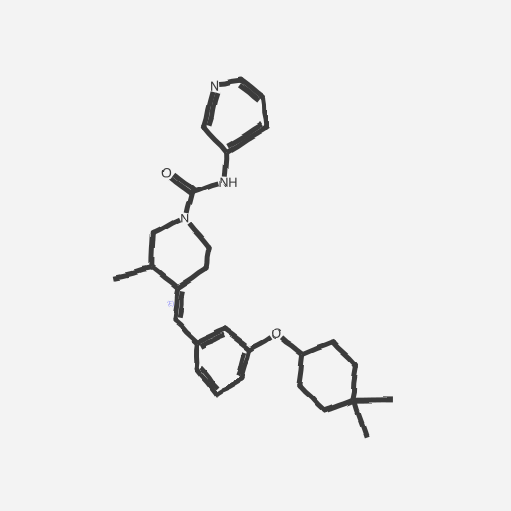 CC1CN(C(=O)Nc2cccnc2)CC/C1=C\c1cccc(OC2CCC(C)(C)CC2)c1